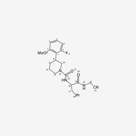 COc1cccc(F)c1C1CCCN(C(=O)NC(CC(C)C)C(=O)NCC#N)C1